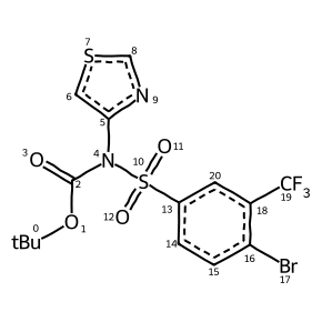 CC(C)(C)OC(=O)N(c1cscn1)S(=O)(=O)c1ccc(Br)c(C(F)(F)F)c1